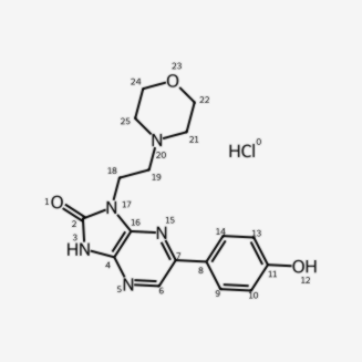 Cl.O=c1[nH]c2ncc(-c3ccc(O)cc3)nc2n1CCN1CCOCC1